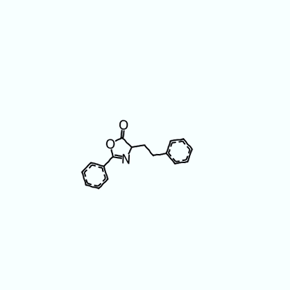 O=C1OC(c2ccccc2)=NC1CCc1ccccc1